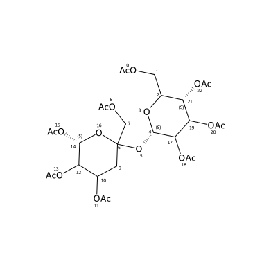 CC(=O)OCC1O[C@@H](OC2(COC(C)=O)CC(OC(C)=O)C(OC(C)=O)[C@H](OC(C)=O)O2)C(OC(C)=O)C(OC(C)=O)[C@H]1OC(C)=O